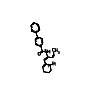 C/C=C\C(=C/C1=CCCCN1CC)NC(=O)c1ccc(-c2ccccc2)cc1